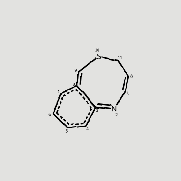 C1=CN=c2ccccc2=CSC1